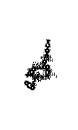 COc1cc2c(cc1OCC(CCCOC1CC3NC(O)[C@@H]4CC5(CC5)CN4C(=O)C3CC1OC)Cc1ccccc1NC(=O)[C@H](C)NC(=O)[C@@H](NC(=O)CNC(=O)CNC(=O)CCC(=O)N1Cc3ccccc3C#Cc3ccccc31)C(C)C)NC[C@@H]1CC(c3ccc(C4CCN(C5CC5)CC4)cc3)=CN1C2=O